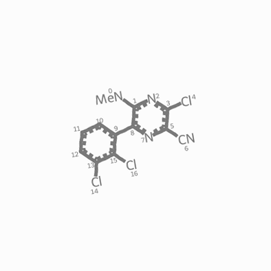 CNc1nc(Cl)c(C#N)nc1-c1cccc(Cl)c1Cl